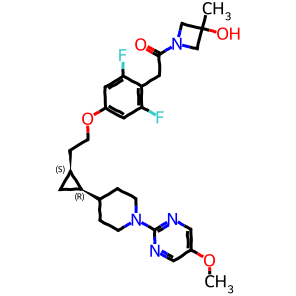 COc1cnc(N2CCC([C@H]3C[C@H]3CCOc3cc(F)c(CC(=O)N4CC(C)(O)C4)c(F)c3)CC2)nc1